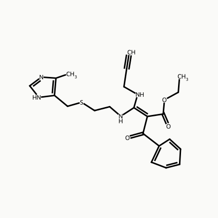 C#CCN/C(NCCSCc1[nH]cnc1C)=C(\C(=O)OCC)C(=O)c1ccccc1